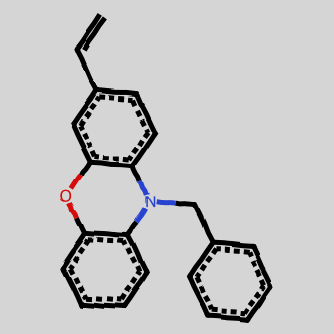 C=Cc1ccc2c(c1)Oc1ccccc1N2Cc1ccccc1